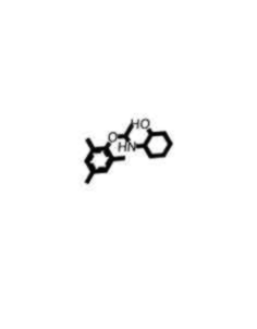 Cc1cc(C)c(OC(C)NC2CCCCC2O)c(C)c1